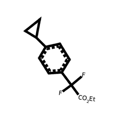 CCOC(=O)C(F)(F)c1ccc(C2CC2)cc1